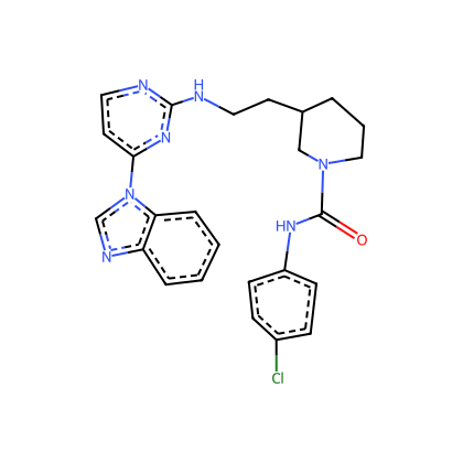 O=C(Nc1ccc(Cl)cc1)N1CCCC(CCNc2nccc(-n3cnc4ccccc43)n2)C1